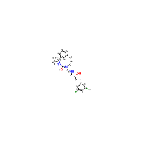 CC1(C)NC(=O)N(CNCC(O)CCc2cc(F)cc(F)c2)CCCc2cccc1c2